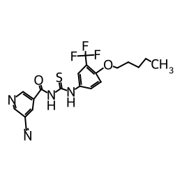 CCCCCOc1ccc(NC(=S)NC(=O)c2cncc(C#N)c2)cc1C(F)(F)F